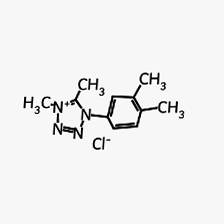 Cc1ccc(-n2nn[n+](C)c2C)cc1C.[Cl-]